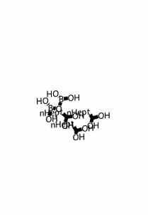 CCCCCCCC(O)O.CCCCCCCC(O)O.CCCCCCCC(O)O.OB(O)OB(O)O